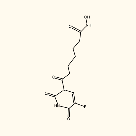 O=C(CCCCCC(=O)n1cc(F)c(=O)[nH]c1=O)NO